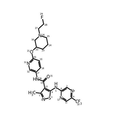 Cc1nsc(Nc2cnc(C(F)(F)F)cn2)c1C(=O)Nc1ccc(OC2CCCN(CCF)C2)nc1